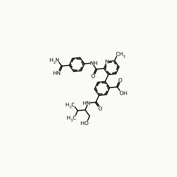 Cc1ccc(-c2ccc(C(=O)NC(CO)C(C)C)cc2C(=O)O)c(C(=O)Nc2ccc(C(=N)N)cc2)n1